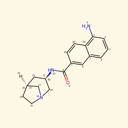 Nc1cccc2cc(C(=O)N[C@@H]3C[C@@H]4CCN(C4)C3)ccc12